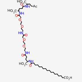 CC(=O)CC[C@H](NC(=O)CC[C@H](NC(=O)COCCOCCNC(=O)COCCOCCNC(=O)CCC(NC(=O)CCCCCCCCCCCCCCCCC(=O)O)C(=O)O)C(=O)O)C(=O)O